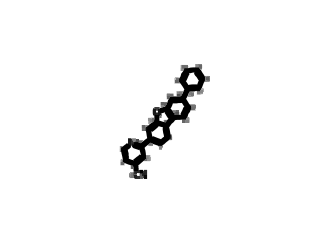 N#Cc1ccnc(-c2ccc3c(c2)oc2cc(-c4ccccc4)ccc23)c1